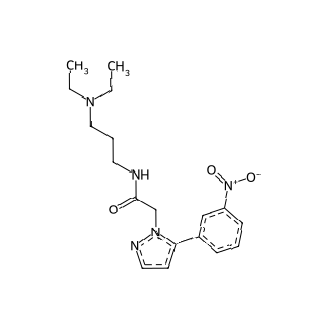 CCN(CC)CCCNC(=O)Cn1nccc1-c1cccc([N+](=O)[O-])c1